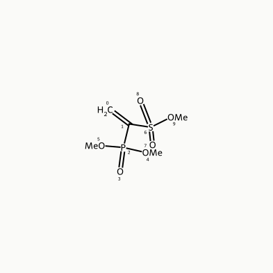 C=C(P(=O)(OC)OC)S(=O)(=O)OC